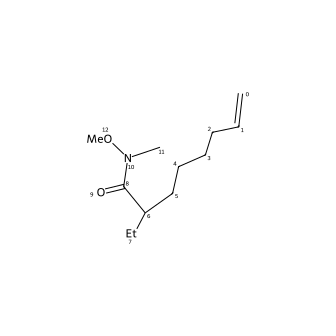 C=CCCCCC(CC)C(=O)N(C)OC